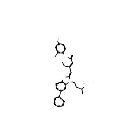 C=C(/C=C(/C=C1\Oc2ccc(-c3ccccc3)cc2N1CCC(C)S(=O)(=O)O)CC)Oc1ccc(Cl)cc1C